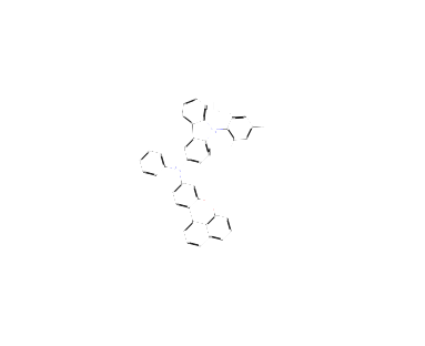 Cc1cc(C)c(-n2c3ccccc3c3cc(N(c4ccccc4)c4ccc5c(c4)Oc4cccc6cccc-5c46)ccc32)c(C)c1